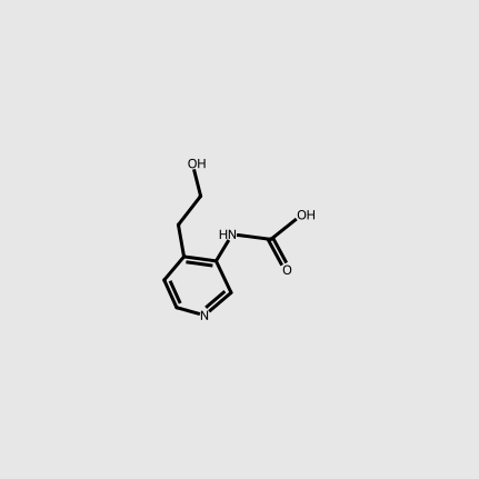 O=C(O)Nc1cnccc1CCO